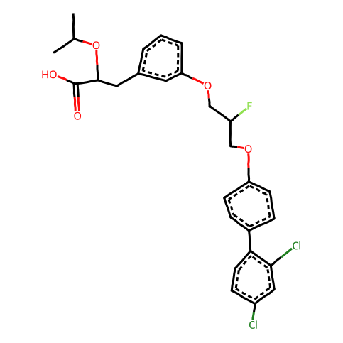 CC(C)OC(Cc1cccc(OCC(F)COc2ccc(-c3ccc(Cl)cc3Cl)cc2)c1)C(=O)O